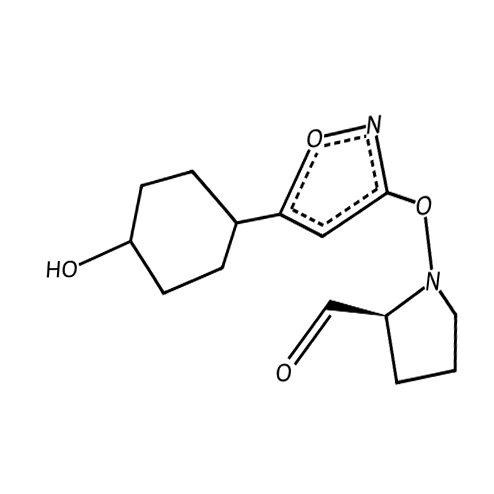 O=C[C@@H]1CCCN1Oc1cc(C2CCC(O)CC2)on1